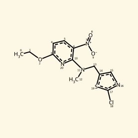 CCOc1ccc([N+](=O)[O-])c(N(C)Cc2cnc(Cl)s2)n1